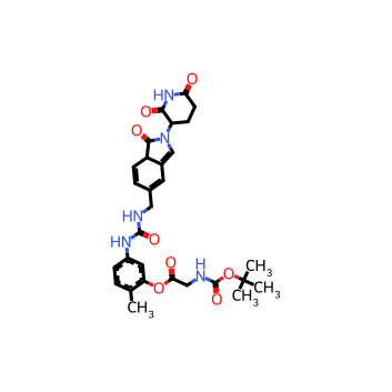 Cc1ccc(NC(=O)NCC2=CC3=CN(C4CCC(=O)NC4=O)C(=O)C3C=C2)cc1OC(=O)CNC(=O)OC(C)(C)C